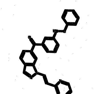 O=C(c1cccc(NOc2ccccc2)c1)c1ccc2cnn(C=Cc3ccccn3)c2c1